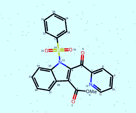 COC(=O)c1c(C(=O)c2ccccn2)n(S(=O)(=O)c2ccccc2)c2ccccc12